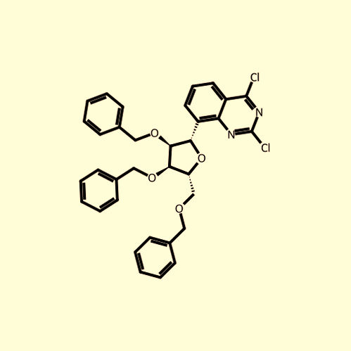 Clc1nc(Cl)c2cccc([C@@H]3O[C@H](COCc4ccccc4)[C@@H](OCc4ccccc4)[C@H]3OCc3ccccc3)c2n1